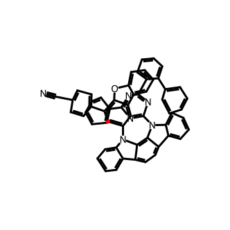 N#Cc1ccc(-c2cc(-n3c4ccccc4c4ccc5c6ccccc6n(-c6nc(-c7ccccc7)nc(-c7ccccc7-c7ccccc7)n6)c5c43)cc3c2oc2ccccc23)cc1